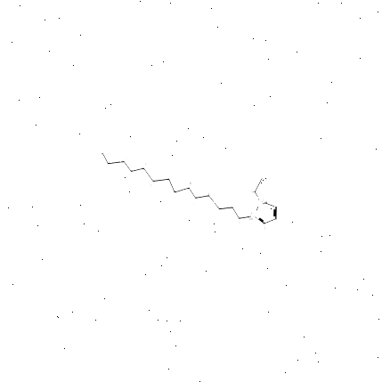 CCCCCCCCCCCCCC[n+]1cccn1CC